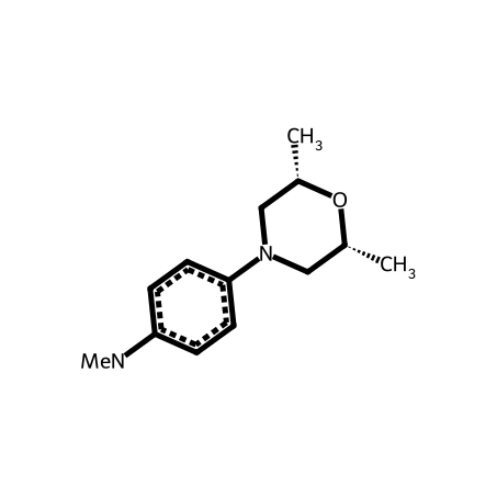 CNc1ccc(N2C[C@@H](C)O[C@@H](C)C2)cc1